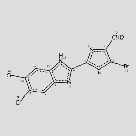 O=Cc1sc(-c2nc3cc(Cl)c(Cl)cc3[nH]2)cc1Br